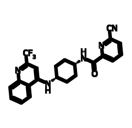 N#Cc1cccc(C(=O)N[C@H]2CC[C@@H](Nc3cc(C(F)(F)F)nc4ccccc34)CC2)n1